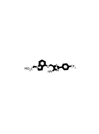 CCCc1nc(-c2ccc(C(F)(F)F)cc2)sc1COc1cccc2c1ccn2CC(=O)O